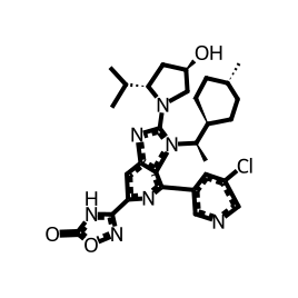 CC(C)[C@@H]1C[C@@H](O)CN1c1nc2cc(-c3noc(=O)[nH]3)nc(-c3cncc(Cl)c3)c2n1[C@H](C)[C@H]1CC[C@H](C)CC1